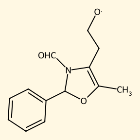 CC1=C(CC[O])N(C=O)C(c2ccccc2)O1